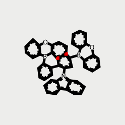 c1ccc2c(c1)Oc1ccccc1B2c1ccc(-c2ccccc2B2c3ccccc3Oc3ccccc32)c(-n2c3ccccc3c3ccccc32)c1